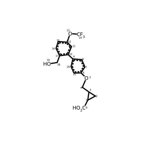 O=C(O)C1CC1COc1ccc(-c2cc(OC(F)(F)F)ccc2CO)cc1